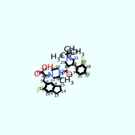 C[C@H]1CN([C@@H](Cc2cc3c(cc2F)CCC3)C(=O)O)CCN1C(=O)[C@@H]1CN(C(C)(C)C)C[C@H]1c1ccc(F)cc1F